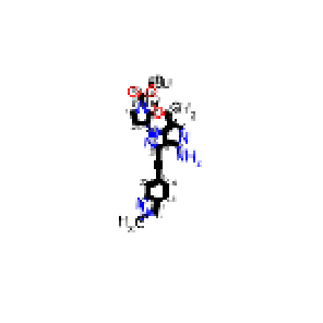 C=C(OCCCC)c1cnc(N)c2c(C#Cc3ccc4cn(C)nc4c3)nn(C3CCN(C(=O)OC(C)(C)C)C3)c12